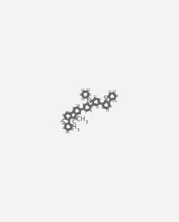 CC1(C)c2cc(-c3ccc4c5cc(-c6cccc7c6sc6ccccc67)ccc5n(-c5ccccc5)c4c3)ccc2-c2ccc3sc4ccccc4c3c21